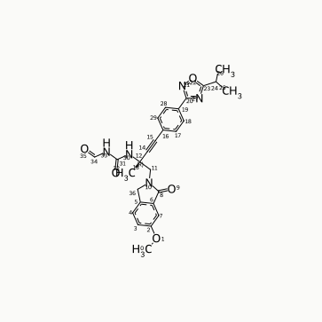 COc1ccc2c(c1)C(=O)N(C[C@@](C)(C#Cc1ccc(-c3noc(C(C)C)n3)cc1)NC(=O)NC=O)C2